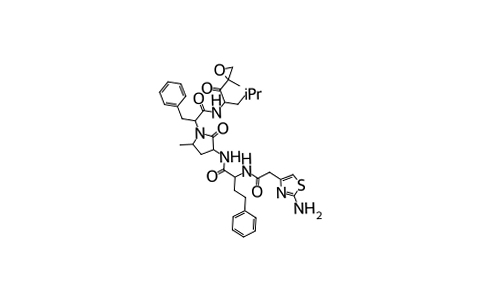 CC(C)CC(NC(=O)C(Cc1ccccc1)N1C(=O)C(NC(=O)C(CCc2ccccc2)NC(=O)Cc2csc(N)n2)CC1C)C(=O)C1(C)CO1